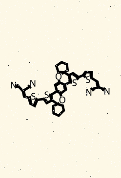 N#CC(C#N)=Cc1ccc(-c2cc3c(s2)-c2cc4c(cc2OC32CCCCC2)-c2sc(-c3ccc(C=C(C#N)C#N)s3)cc2C2(CCCCC2)O4)s1